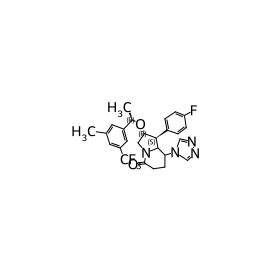 Cc1cc([C@@H](C)O[C@H]2CN3C(=O)CCC(n4cnnc4)C3[C@@H]2c2ccc(F)cc2)cc(C(F)(F)F)c1